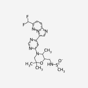 CC1C(CN[S+](C)[O-])OC(C)(C)CN1c1cc(-c2cnc3ccc(C(F)F)nn23)ncn1